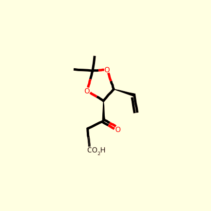 C=C[C@@H]1OC(C)(C)O[C@@H]1C(=O)CC(=O)O